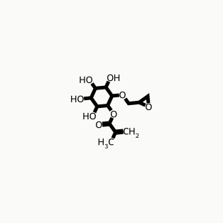 C=C(C)C(=O)OC1C(O)C(O)C(O)C(O)C1OCC1CO1